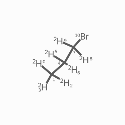 [2H]C([2H])([2H])C([2H])([2H])C([2H])([2H])Br